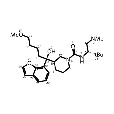 CNC[C@@H](NC(=O)N1CCC[C@@H]([C@@](O)(CCCCOC)c2cccc3ccoc23)C1)C(C)(C)C